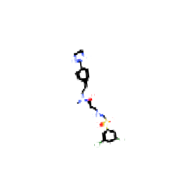 CN(CCc1ccc(C2=NCCN2)cc1)C(=O)CCNCS(=O)(=O)c1cc(Cl)cc(Cl)c1